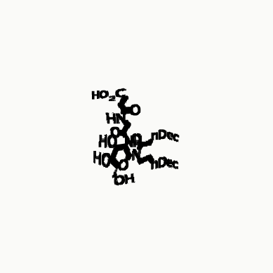 CCCCCCCCCCCCN(C(=O)CCCCCCCCCCC)[C@@H]1O[C@H](CO)[C@@H](O)[C@H](O)[C@@H]1NC(=O)CNC(=O)CCC(=O)O